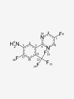 Nc1cc(-c2ncc(F)cn2)c(C(F)(F)F)cc1F